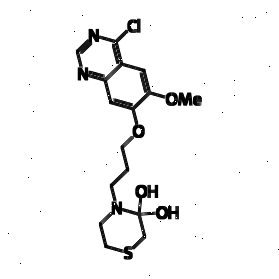 COc1cc2c(Cl)ncnc2cc1OCCCN1CCSCC1(O)O